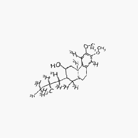 [2H]c1c2c(c([2H])c(OC)c1OC)C1([2H])CC(O)C(C([2H])([2H])C([2H])(C)C([2H])([2H])[2H])C([2H])([2H])N1CC2